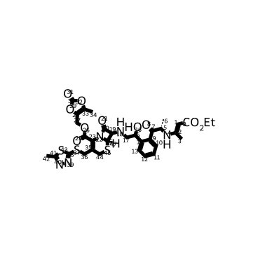 CCOC(=O)C=C(C)N[C@@H](C)C(=O)c1ccccc1C(O)CNC1C(=O)N2C(C(=O)OCc3oc(=O)oc3C)=C(CSc3nnc(C)s3)CS[C@@H]12